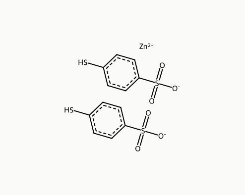 O=S(=O)([O-])c1ccc(S)cc1.O=S(=O)([O-])c1ccc(S)cc1.[Zn+2]